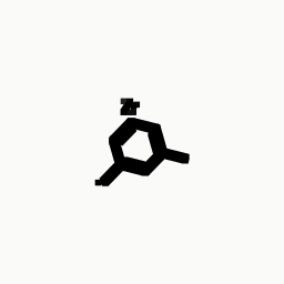 [CH2]c1cccc(C)c1.[Zr]